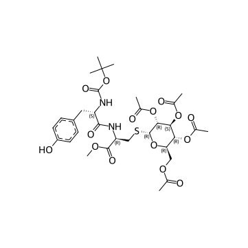 COC(=O)[C@H](CS[C@H]1O[C@H](COC(C)=O)[C@@H](OC(C)=O)[C@H](OC(C)=O)[C@H]1OC(C)=O)NC(=O)[C@H](Cc1ccc(O)cc1)NC(=O)OC(C)(C)C